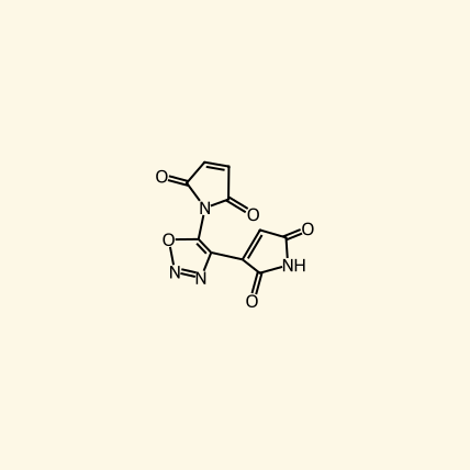 O=C1C=C(c2nnoc2N2C(=O)C=CC2=O)C(=O)N1